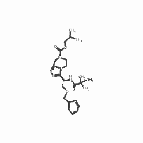 CC(C)COC(=O)N1CCn2c(nnc2[C@@H](COCc2ccccc2)NC(=O)C(C)(C)N)C1